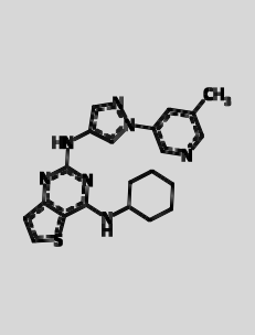 Cc1cncc(-n2cc(Nc3nc(NC4CCCCC4)c4sccc4n3)cn2)c1